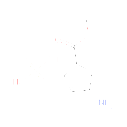 COC(=O)C1C=CC(N)C1.O=S(=O)(O)O